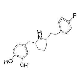 Oc1ccc(CC2CCCC(CCc3ccc(F)cc3)N2)cc1O